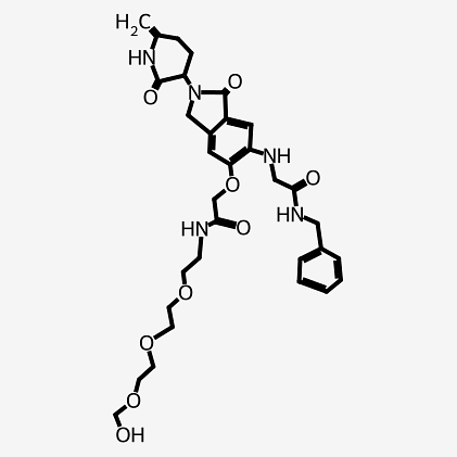 C=C1CCC(N2Cc3cc(OCC(=O)NCCOCCOCCOCO)c(NCC(=O)NCc4ccccc4)cc3C2=O)C(=O)N1